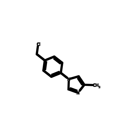 Cc1cn(-c2ccc(CCl)cc2)cn1